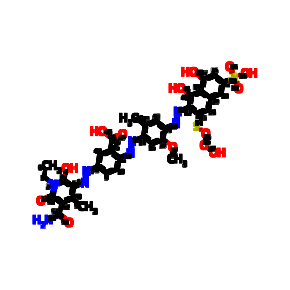 CCn1c(O)c(/N=N/c2ccc(/N=N/c3cc(OC)c(/N=N/c4c(SOOO)cc5cc(S(=O)(=O)O)cc(O)c5c4O)cc3C)c(C(=O)O)c2)c(C)c(C(N)=O)c1=O